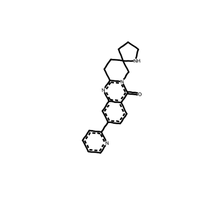 O=c1c2ccc(-c3ccccn3)cc2nc2n1CC1(CCCN1)CC2